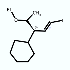 CCOC(C)[C@@H](/C=C/I)C1CCCCC1